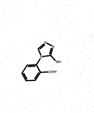 COc1ccccc1-n1cnnc1C(C)(C)C